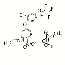 CCNc1cc(Oc2ccc(OC(F)(F)C(F)F)cc2Cl)ccc1[N+](=O)[O-].CO[PH](=O)OC